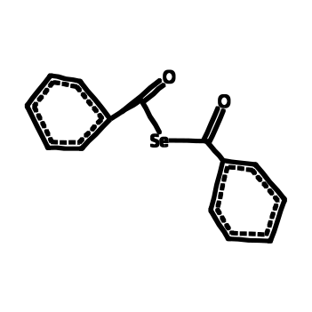 O=C([Se]C(=O)c1ccccc1)c1ccccc1